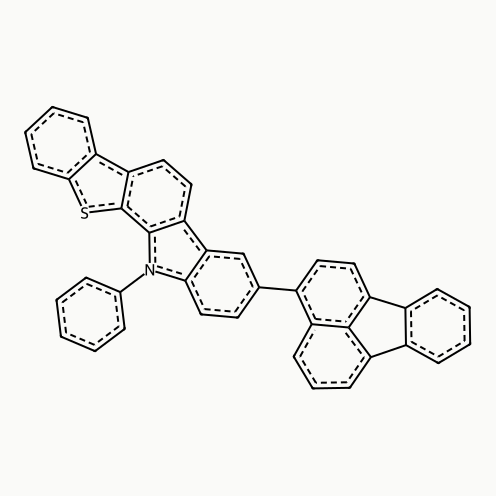 c1ccc(-n2c3ccc(-c4ccc5c6c(cccc46)-c4ccccc4-5)cc3c3ccc4c5ccccc5sc4c32)cc1